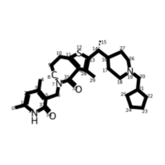 Cc1cc(C)c(CN2CCCc3sc([C@H](C)C4CCN(CC5CCCC5)CC4)c(C)c3C2=O)c(=O)[nH]1